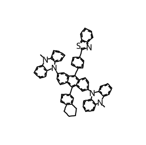 CN1c2ccccc2N(c2ccc3c(-c4ccc5c(c4)CCCC5)c4cc(N5c6ccccc6N(C)c6ccccc65)ccc4c(-c4ccc(-c5nc6ccccc6s5)cc4)c3c2)c2ccccc21